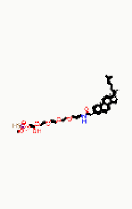 COP(=O)(S)OCC(O)OCCOCCOCCOCCCNC(=O)C[C@H]1CC[C@@]2(C)C(=CCC3C2CC[C@@]2(C)C3CC[C@@H]2[C@H](C)CCCC(C)C)C1